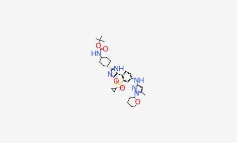 Cc1cc(Nc2ccc(-c3cnc([C@H]4CC[C@H](NC(=O)OC(C)(C)C)CC4)[nH]3)c(S(=O)(=O)C3CC3)c2)nn1C1CCCCO1